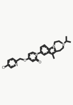 Cc1c2n(c3ccc(-n4ccc(OCc5ccc(Cl)cn5)cc4=O)cc13)CCN(C(C)C)CC2